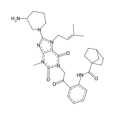 CC(C)=CCn1c(N2CCCC(N)C2)nc2c1c(=O)n(CC(=O)c1ccccc1NC(=O)C13CCC(CC1)C3)c(=O)n2C